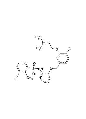 Cc1c(Cl)cccc1S(=O)(=O)Nc1ncccc1OCc1ccc(Cl)c(OCCN(C)C)c1